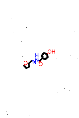 O=C(N/N=C/C1CC=CO1)c1ccc(O)cc1